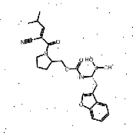 CC(C)C=C(C#N)C(=O)N1CCCC1COC(=O)N[C@@H](Cc1coc2ccccc12)B(O)O